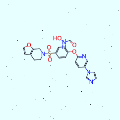 O=CNO.O=S(=O)(c1ccc(Oc2ccc(-n3ccnc3)cn2)cc1)N1CCc2ccoc2C1